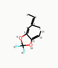 C\C=C(C)/C=C1/OC(F)(F)O/C1=C/C